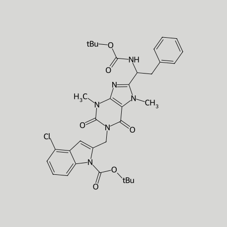 Cn1c(C(Cc2ccccc2)NC(=O)OC(C)(C)C)nc2c1c(=O)n(Cc1cc3c(Cl)cccc3n1C(=O)OC(C)(C)C)c(=O)n2C